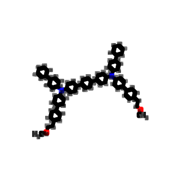 COCCc1ccc(-c2ccc(N(c3ccc(-c4ccccc4)cc3)c3ccc(-c4ccc(-c5ccc(N(c6ccc(-c7ccccc7)cc6)c6ccc(-c7ccc(CCOC)cc7)cc6)cc5)cc4)cc3)cc2)cc1